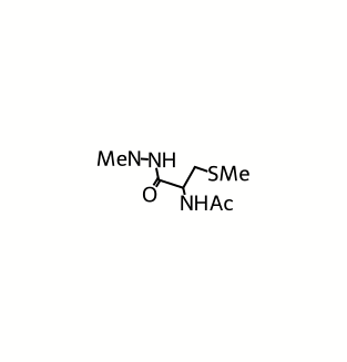 CNNC(=O)C(CSC)NC(C)=O